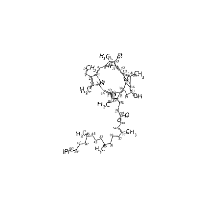 C=CC1=C(C)C2=NC1=CC1=NC(=CC3=C(C)C4=C(O)CC(=C5NC(=C2)[C@@H](C)[C@@H]5CCC(=O)OC/C=C(\C)CCCC(C)CCCC(C)CCCC(C)C)C4=N3)C(CC)=C1C